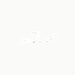 COCOc1cc(-c2ccn3nc(C)cc3c2)ccc1-c1ccc(C2CN(C(=O)OC(C)(C)C)C2)nn1